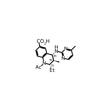 CC[C@H]1[C@H](C)[C@@H](Nc2nccc(C)n2)c2cc(C(=O)O)ccc2N1C(C)=O